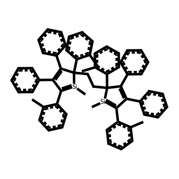 Cc1ccccc1C1=[Si](C)C(CCC2(c3ccccc3C)C(c3ccccc3)=C(c3ccccc3)C(c3ccccc3C)=[Si]2C)(c2ccccc2C)C(c2ccccc2)=C1c1ccccc1